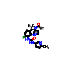 Cc1ccc(NC(=O)Nc2cc(C[C@]3(N(C)C(=O)C(C)C)CCNC3)ccc2F)cn1